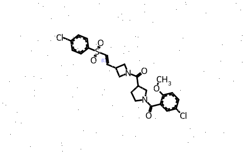 COc1ccc(Cl)cc1C(=O)N1CCC(C(=O)N2CC(/C=C/S(=O)(=O)c3ccc(Cl)cc3)C2)C1